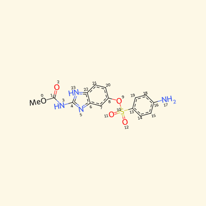 COC(=O)Nc1nc2cc(OS(=O)(=O)c3ccc(N)cc3)ccc2[nH]1